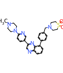 CN1CCN(c2ccc(-c3cnc4cccc(-c5ccc(CN6CCS(=O)(=O)CC6)cc5)c4n3)cn2)CC1